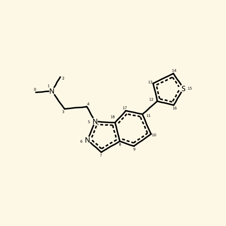 CN(C)CCn1ncc2ccc(-c3ccsc3)cc21